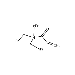 C=CC(=O)[N+](CCC)(CC(C)C)CC(C)C